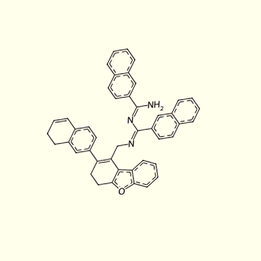 N/C(=N\C(=N/CC1=C(c2ccc3c(c2)CCC=C3)CCc2oc3ccccc3c21)c1ccc2ccccc2c1)c1ccc2ccccc2c1